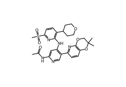 CC(=O)Nc1cc(Nc2nc(S(C)(=O)=O)ccc2C2CCOCC2)c(-c2ccc3c(n2)OCC(C)(C)O3)cn1